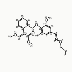 CCCO/N=C/c1cc(F)c(OCc2ccccc2/C(=C\OC)C(=O)OC)c(OC)c1